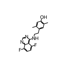 Cc1cc(CCNc2ncnc3c(F)ccc(F)c23)c(C)cc1O